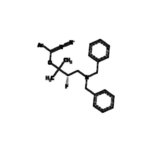 CC(=O)C(=[N+]=[N-])OC(C)(C)[C@@H](F)CN(Cc1ccccc1)Cc1ccccc1